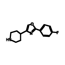 Fc1ccc(-c2nc(C3CCNCC3)co2)cc1